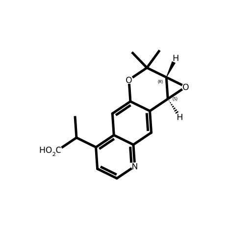 CC(C(=O)O)c1ccnc2cc3c(cc12)OC(C)(C)[C@@H]1O[C@@H]31